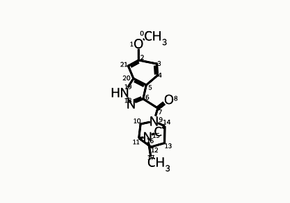 COc1ccc2c(C(=O)N3CC4CCC3CN4C)n[nH]c2c1